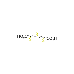 O=C(O)CC(=S)CCC(=S)CCC(=S)CC(=O)O